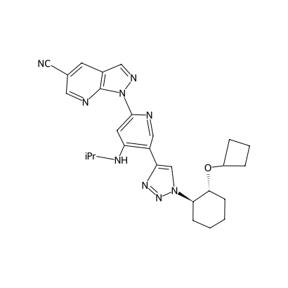 CC(C)Nc1cc(-n2ncc3cc(C#N)cnc32)ncc1-c1cn([C@@H]2CCCC[C@H]2OC2CCC2)nn1